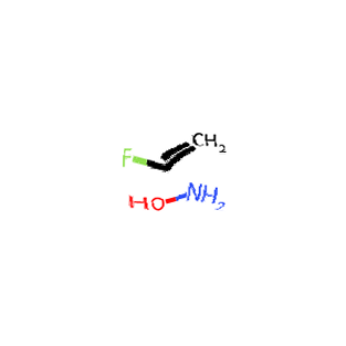 C=CF.NO